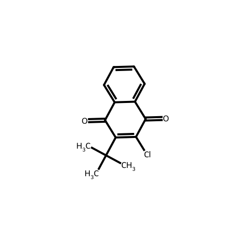 CC(C)(C)C1=C(Cl)C(=O)c2ccccc2C1=O